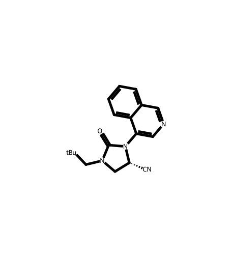 CC(C)(C)CN1C[C@@H](C#N)N(c2cncc3ccccc23)C1=O